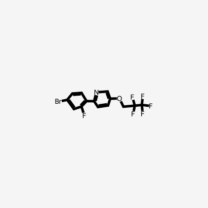 Fc1cc(Br)ccc1-c1ccc(OCC(F)(F)C(F)(F)F)cn1